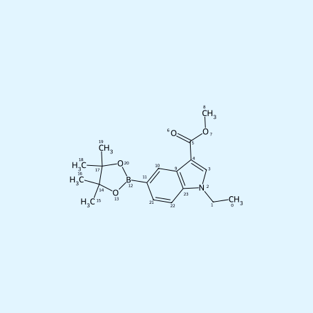 CCn1cc(C(=O)OC)c2cc(B3OC(C)(C)C(C)(C)O3)ccc21